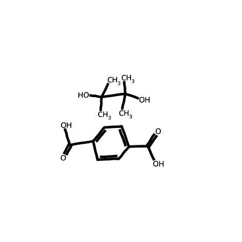 CC(C)(O)C(C)(C)O.O=C(O)c1ccc(C(=O)O)cc1